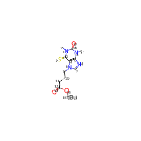 Cn1c(=S)c2c(ncn2CCCC(=O)OC(C)(C)C)n(C)c1=O